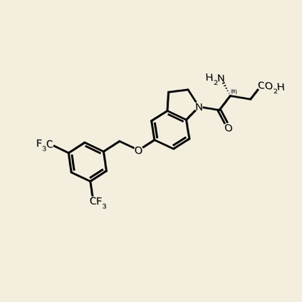 N[C@H](CC(=O)O)C(=O)N1CCc2cc(OCc3cc(C(F)(F)F)cc(C(F)(F)F)c3)ccc21